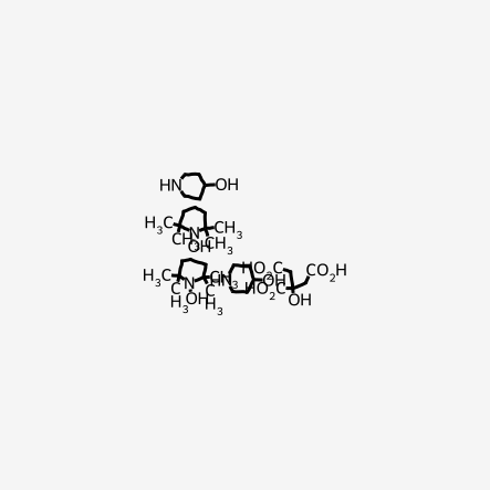 CC1(C)CCCC(C)(C)N1O.CC1(C)CCCC(C)(C)N1O.O=C(O)CC(O)(CC(=O)O)C(=O)O.OC1CCNCC1.OC1CCNCC1